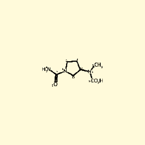 CN(C(=O)O)C1CCN(C(N)=O)C1